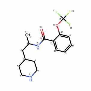 CC(CC1CCNCC1)NC(=O)c1ccccc1OC(F)(F)F